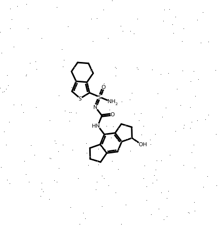 NS(=O)(=NC(=O)Nc1c2c(cc3c1CCC3O)CCC2)c1scc2c1CCCC2